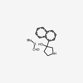 CC(C)(C)OC=O.OC1(c2cccc3ccccc23)CCNC1